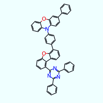 c1ccc(-c2ccc3c(c2)Oc2ccccc2N3c2ccc(-c3cccc4c3oc3cccc(-c5nc(-c6ccccc6)nc(-c6ccccc6)n5)c34)cc2)cc1